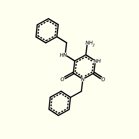 Nc1[nH]c(=O)n(Cc2ccccc2)c(=O)c1NCc1ccccc1